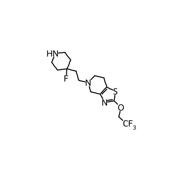 FC(F)(F)COc1nc2c(s1)CCN(CCC1(F)CCNCC1)C2